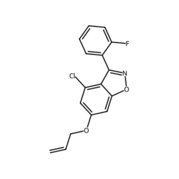 C=CCOc1cc(Cl)c2c(-c3ccccc3F)noc2c1